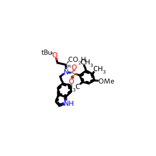 COc1cc(C)c(S(=O)(=O)N(Cc2ccc3[nH]ccc3c2)[C@H](COC(C)(C)C)C(=O)O)c(C)c1C